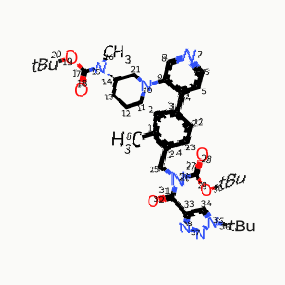 Cc1cc(-c2ccncc2N2CCC[C@H](N(C)C(=O)OC(C)(C)C)C2)ccc1CN(C(=O)OC(C)(C)C)C(=O)c1cn(C(C)(C)C)nn1